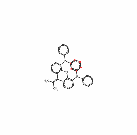 CC(C)=C1c2cccc(P(c3ccccc3)c3ccccc3)c2Oc2c1cccc2P(c1ccccc1)c1ccccc1